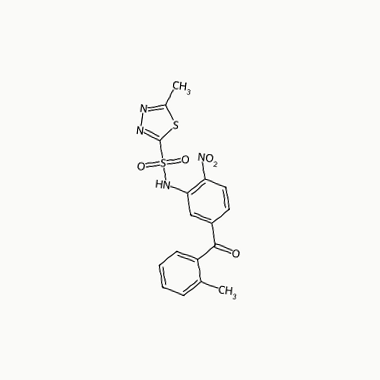 Cc1nnc(S(=O)(=O)Nc2cc(C(=O)c3ccccc3C)ccc2[N+](=O)[O-])s1